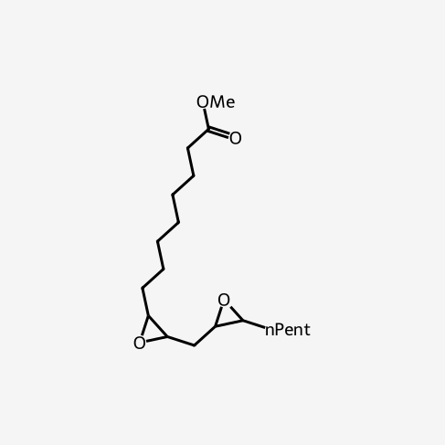 CCCCCC1OC1CC1OC1CCCCCCCC(=O)OC